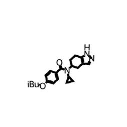 CCC(C)Oc1ccc(C(=O)N(C2CC2)C2CCc3[nH]ncc3C2)cc1